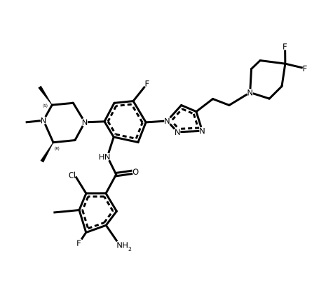 Cc1c(F)c(N)cc(C(=O)Nc2cc(-n3cc(CCN4CCC(F)(F)CC4)nn3)c(F)cc2N2C[C@@H](C)N(C)[C@@H](C)C2)c1Cl